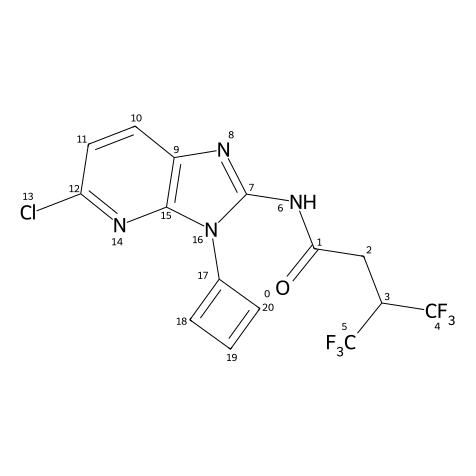 O=C(CC(C(F)(F)F)C(F)(F)F)Nc1nc2ccc(Cl)nc2n1C1=CC=C1